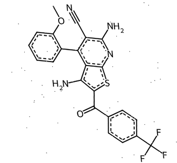 COc1ccccc1-c1c(C#N)c(N)nc2sc(C(=O)c3ccc(C(F)(F)F)cc3)c(N)c12